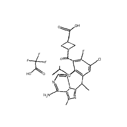 Cc1nc(C(C)c2cc(Cl)c(F)c(C(=O)N3CC(C(=O)O)C3)c2OC(C)C)n2ccnc(N)c12.O=C(O)C(F)(F)F